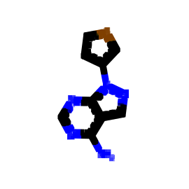 Nc1ncnc2c1cnn2-c1ccsc1